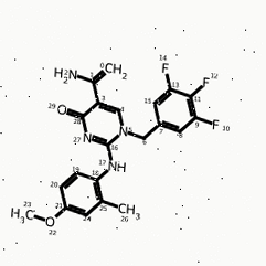 C=C(N)c1cn(Cc2cc(F)c(F)c(F)c2)c(Nc2ccc(OC)cc2C)nc1=O